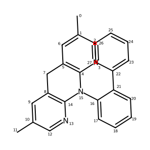 Cc1cnc2c(c1)Cc1cc(C)cnc1N2c1ccccc1-c1ccccc1